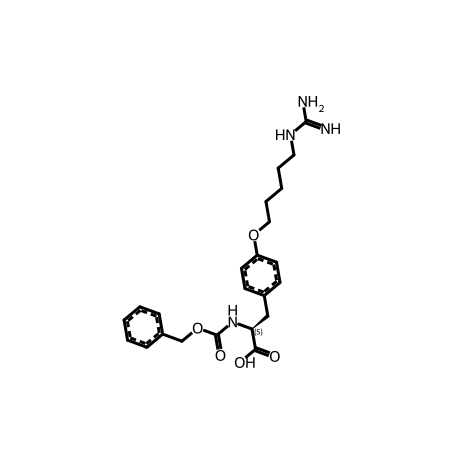 N=C(N)NCCCCCOc1ccc(C[C@H](NC(=O)OCc2ccccc2)C(=O)O)cc1